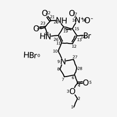 Br.CCOC(=O)C1CCN(Cc2cc(Br)c([N+](=O)[O-])c3[nH]c(=O)c(=O)[nH]c23)CC1